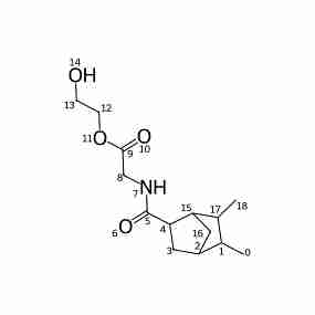 CC1C2CC(C(=O)NCC(=O)OCCO)C(C2)C1C